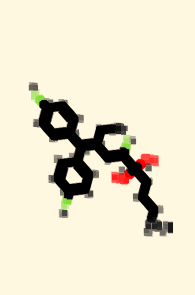 CC(C)CC(C=C(F)C(O)(O)CCCC(=O)O)=C(c1ccc(F)cc1)c1ccc(F)cc1